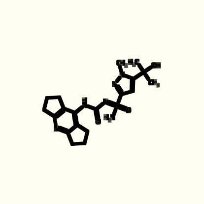 Cn1nc(S(N)(=O)=NC(=O)Nc2c3c(nc4c2CCC4)CCC3)cc1C(C)(C)O